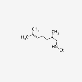 C=C(CCC=C(C)C)CNCC